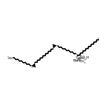 CCCCCCCCCCCCCCCCCCCCCCCC[C@@H](C(=O)O)[C@@H](CCCCCCCCCCC[C@H]1C[C@H]1CCCCCCCCCCCCCC[C@H]1C[C@H]1CCCCCCCCCCCCCCCCCCCC)O[Si](C)(C)C(C)(C)C